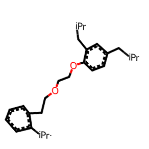 C[C](C)c1ccccc1CCOCCOc1ccc(CC(C)C)cc1CC(C)C